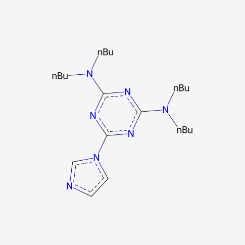 CCCCN(CCCC)c1nc(N(CCCC)CCCC)nc(-n2ccnc2)n1